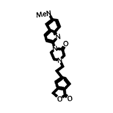 CNc1ccc2nc(N3CCN(CCc4ccc5c(c4)COC5=O)CC3=O)ccc2c1